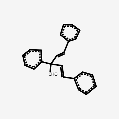 O=CC(C=Cc1ccccc1)(C=Cc1ccccc1)c1ccccc1